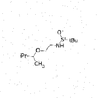 CC(C)C(C)OCCN[S+]([O-])C(C)(C)C